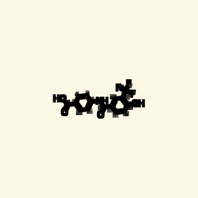 O=C(O)c1ccc(NC(=O)c2ccc(O)c(C(F)(F)F)c2)cc1